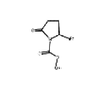 CC(C)C1CCC(=O)N1C(=O)OC(C)(C)C